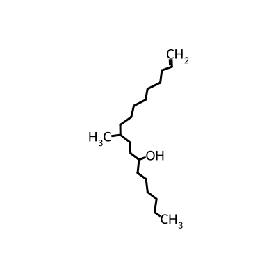 C=CCCCCCCCC(C)CCC(O)CCCCCC